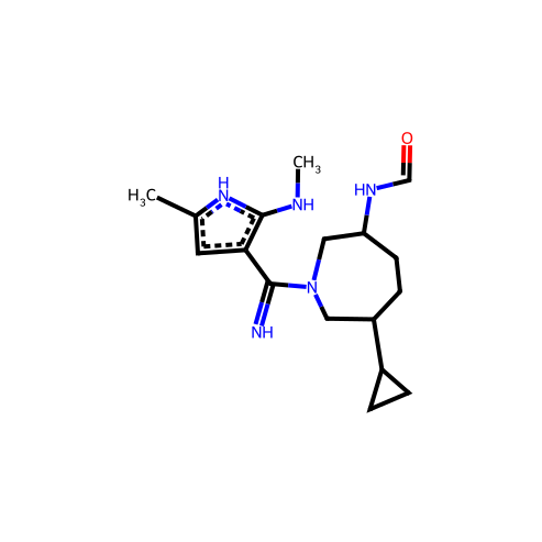 CNc1[nH]c(C)cc1C(=N)N1CC(NC=O)CCC(C2CC2)C1